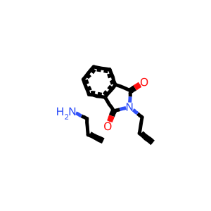 C=CCN.C=CCN1C(=O)c2ccccc2C1=O